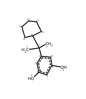 CC(C)(c1cc(O)cc(O)c1)C1CCCCC1